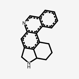 c1ccc2c(c1)cnc1cc3c4c(c12)CCCC4NC3